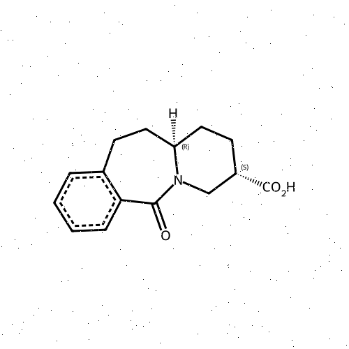 O=C(O)[C@H]1CC[C@@H]2CCc3ccccc3C(=O)N2C1